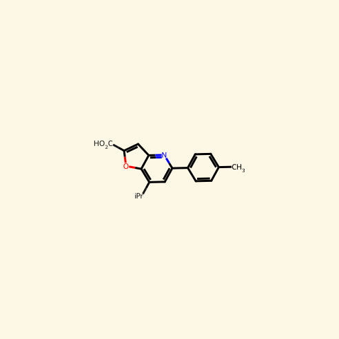 Cc1ccc(-c2cc(C(C)C)c3oc(C(=O)O)cc3n2)cc1